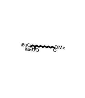 COC(=O)CCCCCCCCCC(CC(=O)OCC(C)C)C(=O)OCC(C)C